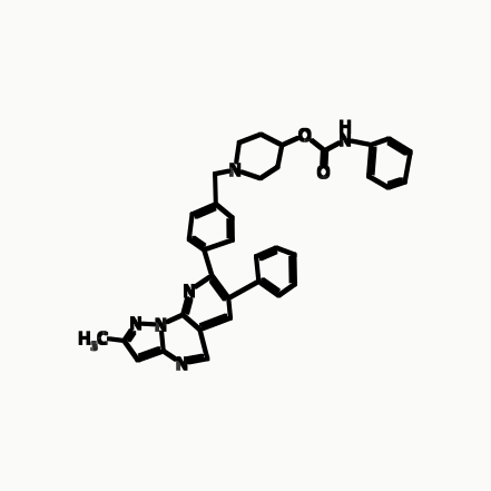 Cc1cc2ncc3cc(-c4ccccc4)c(-c4ccc(CN5CCC(OC(=O)Nc6ccccc6)CC5)cc4)nc3n2n1